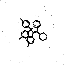 Cc1ccc(C2=C(C3CCCCC3)c3cccc[n+]3[B-]2(c2ccc(C)cc2)c2ccc(C)cc2)cc1